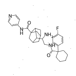 NC(CNC(=O)C1(c2ccc(F)cc2)CCCCC1)C1C2CC3CC1C(C(=O)Nc1ccncc1)(C3)C2